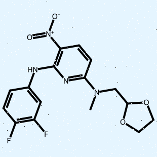 CN(CC1OCCO1)c1ccc([N+](=O)[O-])c(Nc2ccc(F)c(F)c2)n1